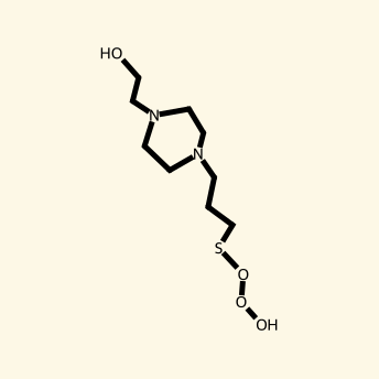 OCCN1CCN(CCCSOOO)CC1